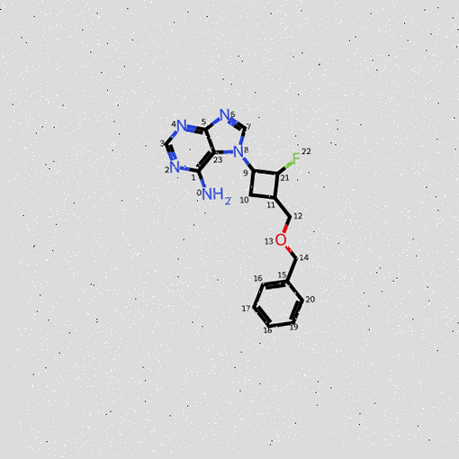 Nc1ncnc2ncn(C3CC(COCc4ccccc4)C3F)c12